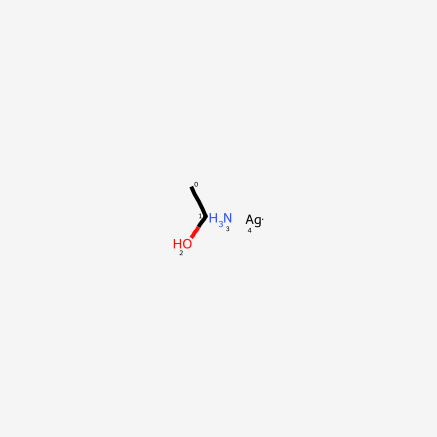 CCO.N.[Ag]